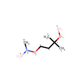 BOC(C)(C)CCON(B)C